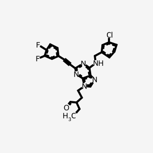 CCC(C=O)CCn1cnc2c(NCc3cccc(Cl)c3)nc(C#Cc3ccc(F)c(F)c3)nc21